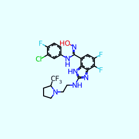 ON=C(Nc1ccc(F)c(Cl)c1)c1cc(F)c(F)c2nc(NCCN3CCCC3C(F)(F)F)[nH]c12